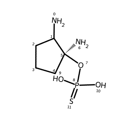 NC1CCC[C@]1(N)OP(O)(O)=S